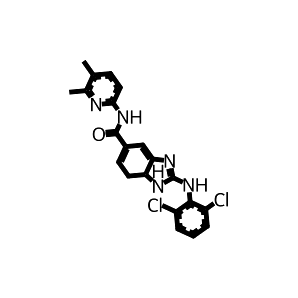 Cc1ccc(NC(=O)C2=CCC3NC(Nc4c(Cl)cccc4Cl)=NC3=C2)nc1C